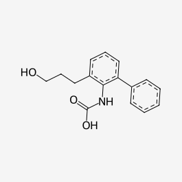 O=C(O)Nc1c(CCCO)cccc1-c1ccccc1